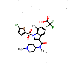 CCc1cccc2c(C(=O)N(C)C3CCN(C)CC3)cn(S(=O)(=O)c3ccc(Br)s3)c12.O=C(O)C(F)(F)F